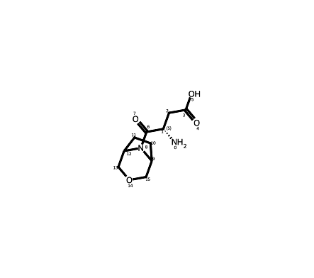 N[C@@H](CC(=O)O)C(=O)N1C2CCC1COC2